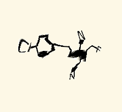 N#CC(C#N)(CCF)CCc1ccc(Cl)cc1